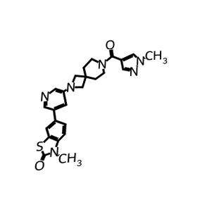 Cn1cc(C(=O)N2CCC3(CC2)CN(c2cncc(-c4ccc5c(c4)sc(=O)n5C)c2)C3)cn1